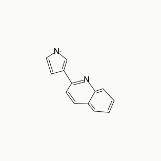 C1=CC(c2ccc3ccccc3n2)=C[N]1